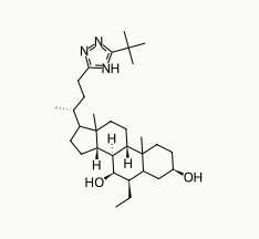 CC[C@@H]1C2C[C@H](O)CCC2(C)[C@H]2CCC3(C)C([C@H](C)CCc4nnc(C(C)(C)C)[nH]4)CC[C@H]3[C@@H]2[C@@H]1O